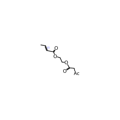 C/C=C/C(=O)OCCOC(=O)CC(C)=O